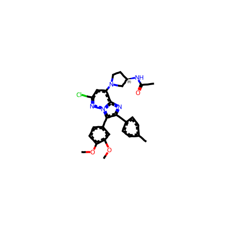 COc1ccc(-c2c(-c3ccc(C)cc3)nc3c(N4CC[C@@H](NC(C)=O)C4)cc(Cl)nn23)cc1OC